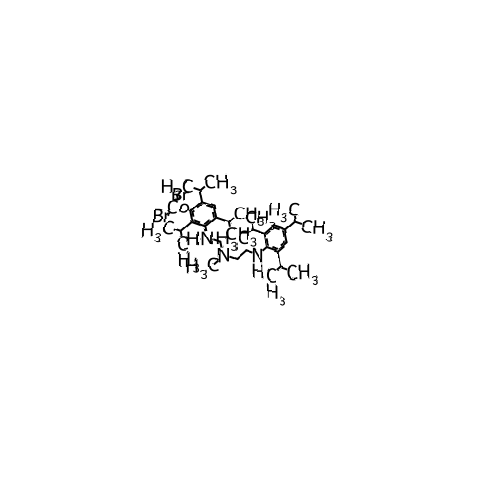 CC(C)c1cc(C(C)C)c(NCCN(C)CNc2c(C(C)C)cc(C(C)C)[c]([Co]([Br])[Br])c2C(C)C)c(C(C)C)c1